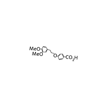 COc1ccc(CCCOc2ccc(C(=O)O)cc2)cc1OC